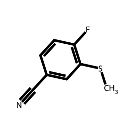 CSc1cc(C#N)ccc1F